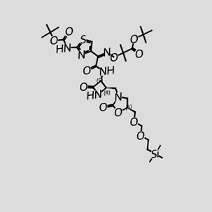 CC(C)(C)OC(=O)Nc1nc(C(=NOC(C)(C)C(=O)OC(C)(C)C)C(=O)N[C@@H]2C(=O)N[C@@H]2CN2C[C@@H](COCOCC[Si](C)(C)C)OC2=O)cs1